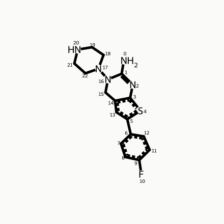 NC1=Nc2sc(-c3ccc(F)cc3)cc2CN1N1CCNCC1